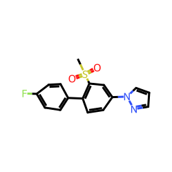 CS(=O)(=O)c1cc(-n2cccn2)ccc1-c1ccc(F)cc1